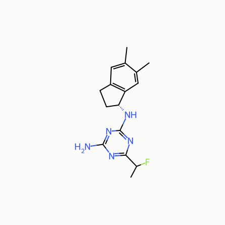 Cc1cc2c(cc1C)[C@H](Nc1nc(N)nc(C(C)F)n1)CC2